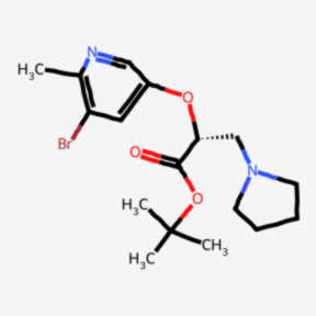 Cc1ncc(O[C@H](CN2CCCC2)C(=O)OC(C)(C)C)cc1Br